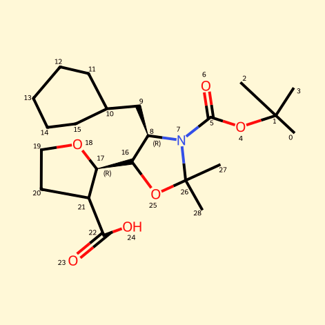 CC(C)(C)OC(=O)N1[C@H](CC2CCCCC2)C([C@@H]2OCCC2C(=O)O)OC1(C)C